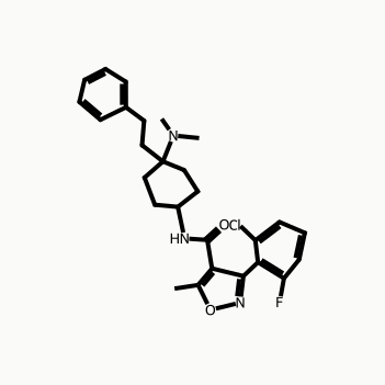 Cc1onc(-c2c(F)cccc2Cl)c1C(=O)NC1CCC(CCc2ccccc2)(N(C)C)CC1